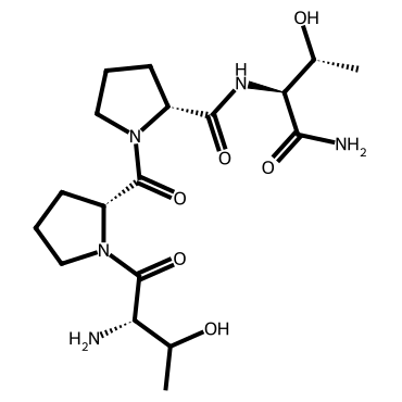 CC(O)[C@H](N)C(=O)N1CCC[C@@H]1C(=O)N1CCC[C@@H]1C(=O)N[C@H](C(N)=O)[C@@H](C)O